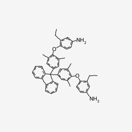 CCc1cc(N)ccc1Oc1c(C)cc(C2(c3cc(C)c(Oc4ccc(N)cc4CC)c(C)c3)c3ccccc3-c3ccccc32)cc1C